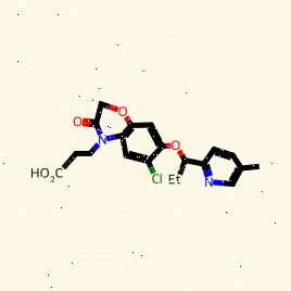 CCC(Oc1cc2c(cc1Cl)N(CCC(=O)O)C(=O)CO2)c1ccc(C)cn1